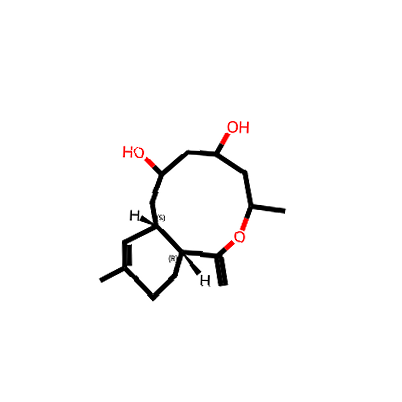 C=C1OC(C)CC(O)CC(O)C[C@H]2C=C(C)CC[C@@H]12